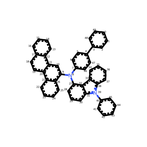 c1ccc(-c2ccc(N(c3cc4c5ccccc5ccc4c4ccccc34)c3cccc4c3c3ccccc3n4-c3ccccc3)cc2)cc1